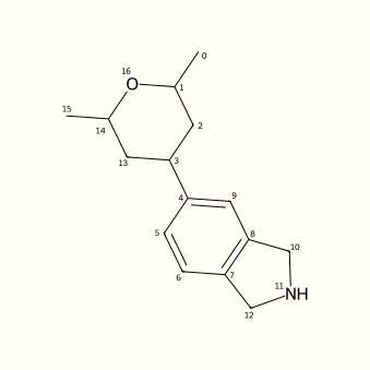 CC1CC(c2ccc3c(c2)CNC3)CC(C)O1